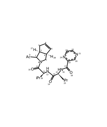 CC(=O)C1[C@H]2CC=C[C@H]2CN1C(=O)[C@@H](NC(=O)[C@@H](NC(=O)c1cnccn1)C(C)C)C(C)C